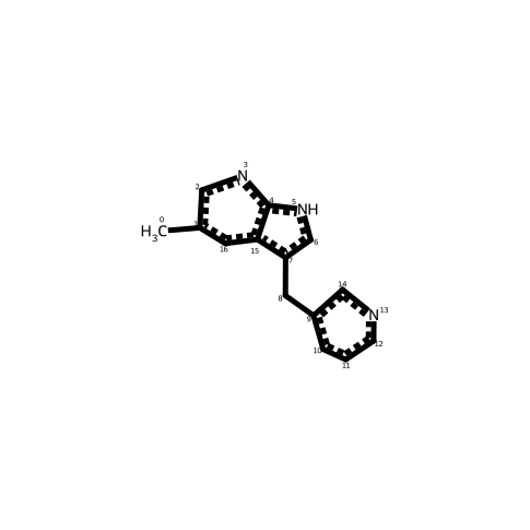 Cc1cnc2[nH]cc(Cc3cccnc3)c2c1